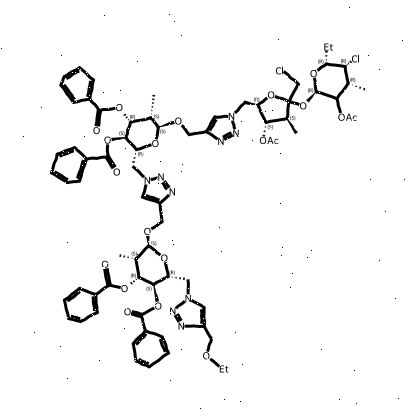 CCOCc1cn(C[C@H]2O[C@H](OCc3cn(C[C@H]4O[C@H](OCc5cn(C[C@H]6OC(CCl)(O[C@H]7O[C@H](CC)[C@H](Cl)[C@H](C)C7OC(C)=O)[C@@H](C)[C@@H]6OC(C)=O)nn5)[C@@H](C)[C@@H](OC(=O)c5ccccc5)[C@@H]4OC(=O)c4ccccc4)nn3)[C@@H](C)[C@@H](OC(=O)c3ccccc3)[C@@H]2OC(=O)c2ccccc2)nn1